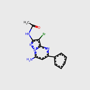 CC(=O)Nc1nn2c(N)cc(-c3ccccc3)nc2c1Br